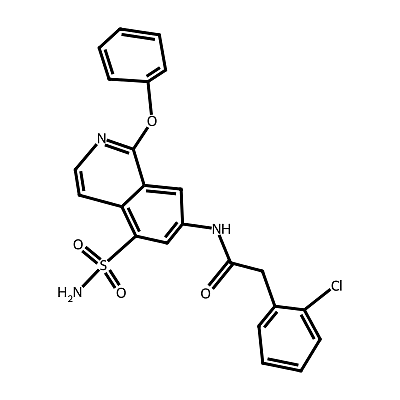 NS(=O)(=O)c1cc(NC(=O)Cc2ccccc2Cl)cc2c(Oc3ccccc3)nccc12